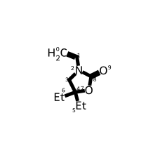 C=CN1CC(CC)(CC)OC1=O